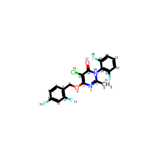 Cc1nc(OCc2ccc(F)cc2F)c(Cl)c(=O)n1-c1c(F)cccc1F